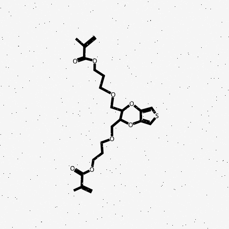 C=C(C)C(=O)OCCCOCC1Oc2cscc2OC1COCCCOC(=O)C(=C)C